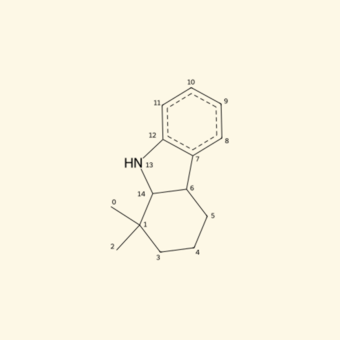 CC1(C)CCCC2c3ccccc3NC21